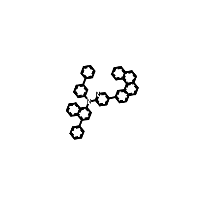 c1ccc(-c2cccc(N(c3ccc(-c4ccc5ccc6ccc7ccccc7c6c5c4)cn3)c3ccc(-c4ccccc4)c4ccccc34)c2)cc1